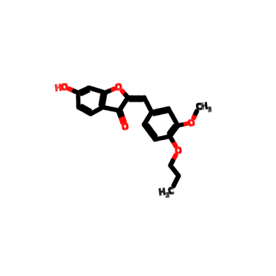 CCCOc1ccc(C=C2Oc3cc(O)ccc3C2=O)cc1OC